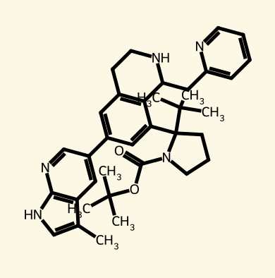 Cc1c[nH]c2ncc(-c3cc4c(c(C5(C(C)(C)C)CCCN5C(=O)OC(C)(C)C)c3)C(Cc3ccccn3)NCC4)cc12